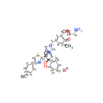 Cc1cc(C[n+]2cnn(C[C@](O)(c3cc(F)c(F)cc3F)[C@@H](C)c3nc(-c4ccc(C#N)cc4)cs3)c2)cc(C)c1OC(=O)CN.[Br-]